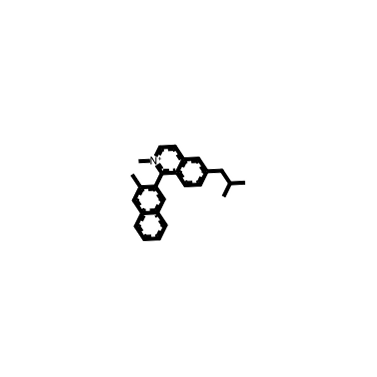 Cc1cc2ccccc2cc1-c1c2ccc(CC(C)C)cc2cc[n+]1C